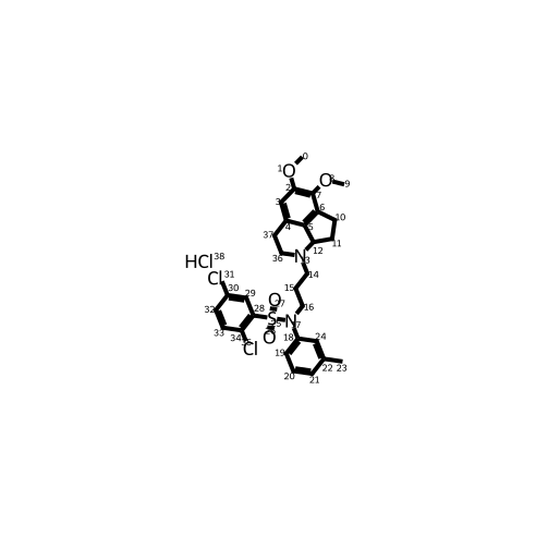 COc1cc2c3c(c1OC)CCC3N(CCCN(c1cccc(C)c1)S(=O)(=O)c1cc(Cl)ccc1Cl)CC2.Cl